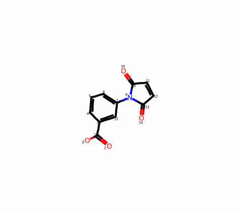 [O]C(=O)c1cccc(N2C(=O)C=CC2=O)c1